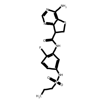 CCCS(=O)(=O)Nc1ccc(F)c(NC(=O)C2CSc3c(N)ncnc32)c1